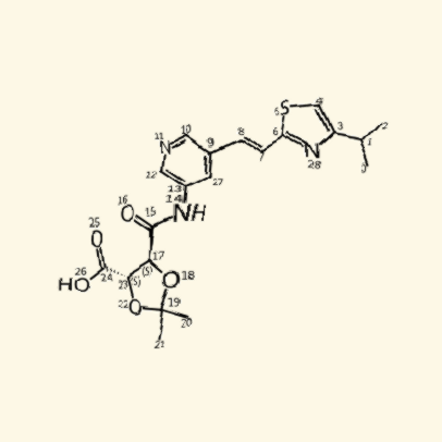 CC(C)c1csc(C=Cc2cncc(NC(=O)[C@H]3OC(C)(C)O[C@@H]3C(=O)O)c2)n1